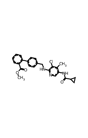 COC(=O)c1ccccc1-c1ccc(CNc2ncc(NC(=O)C3CC3)c(C)c2Cl)cc1